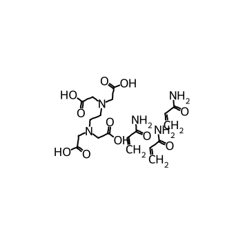 C=CC(N)=O.C=CC(N)=O.C=CC(N)=O.O=C(O)CN(CCN(CC(=O)O)CC(=O)O)CC(=O)O